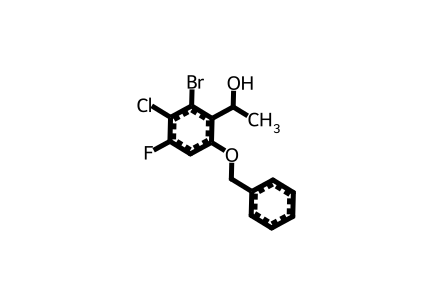 CC(O)c1c(OCc2ccccc2)cc(F)c(Cl)c1Br